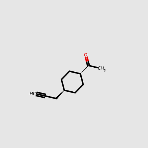 C#CC[C@H]1CC[C@H](C(C)=O)CC1